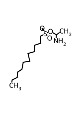 CCCCCCCCCCCCS(=O)(=O)OC(C)N